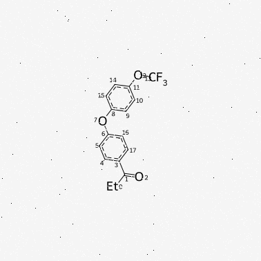 CCC(=O)c1ccc(Oc2ccc(OC(F)(F)F)cc2)cc1